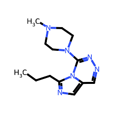 CCCc1ncc2cnnc(N3CCN(C)CC3)n12